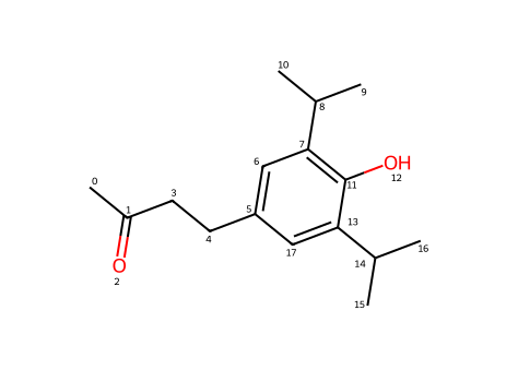 CC(=O)CCc1cc(C(C)C)c(O)c(C(C)C)c1